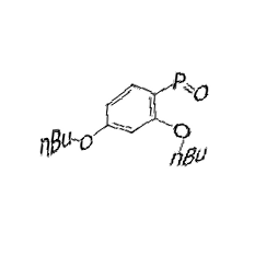 CCCCOc1ccc(P=O)c(OCCCC)c1